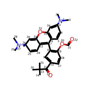 CN(C)c1ccc2c(-c3cc(C(=O)C(C)(C)C)ccc3OC=O)c3ccc(=[N+](C)C)cc-3oc2c1